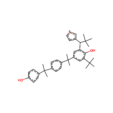 CC(C)(C)c1cc(C(C)(C)c2ccc(C(C)(C)c3ccc(O)cc3)cc2)cc(C(c2ccsc2)C(C)(C)C)c1O